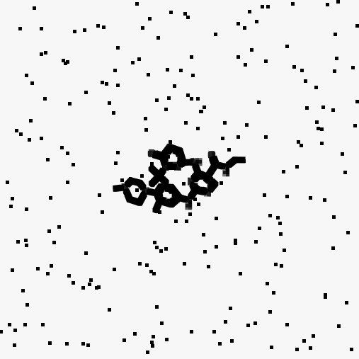 CCNC(=O)c1cnc(Nc2ccc(N3CCN(C)CC3)c(C)c2)nc1Nc1ccc(=O)n(C(C)(C)C)n1